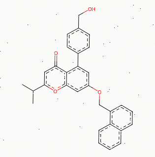 CC(C)c1cc(=O)c2c(-c3ccc(CO)cc3)cc(OCc3cccc4ccccc34)cc2o1